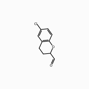 O=CC1CCc2cc(Cl)ccc2O1